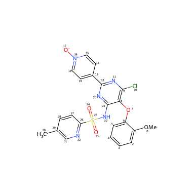 COc1ccccc1Oc1c(Cl)nc(-c2cc[n+]([O-])cc2)nc1NS(=O)(=O)c1ccc(C)cn1